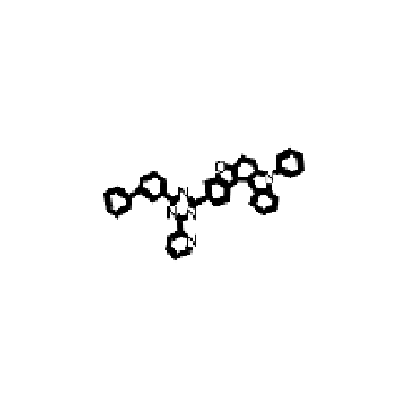 C1=CC2C(c3ccccc3N2c2ccccc2)c2c1oc1cc(-c3nc(-c4cccc(-c5ccccc5)c4)nc(-c4ccccn4)n3)ccc21